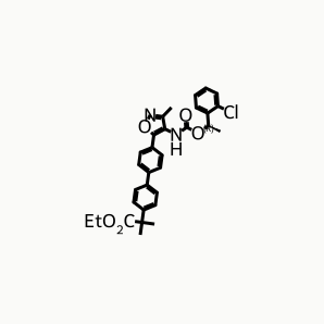 CCOC(=O)C(C)(C)c1ccc(-c2ccc(-c3onc(C)c3NC(=O)O[C@H](C)c3ccccc3Cl)cc2)cc1